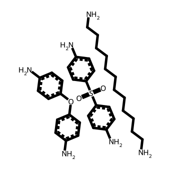 NCCCCCCCCCCCCN.Nc1ccc(Oc2ccc(N)cc2)cc1.Nc1ccc(S(=O)(=O)c2ccc(N)cc2)cc1